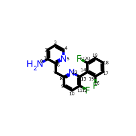 Nc1cccnc1Cc1ccc(F)c(-c2c(F)cccc2F)n1